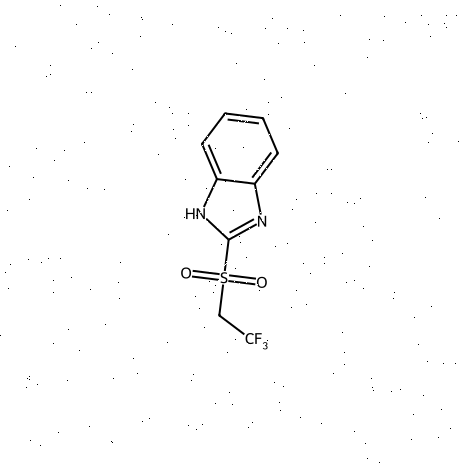 O=S(=O)(CC(F)(F)F)c1nc2ccccc2[nH]1